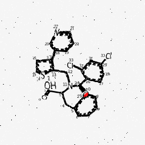 O=C(O)C(Cc1ccccc1)N(Cc1sccc1-c1cccnc1)C(=O)c1ccc(Cl)cc1Cl